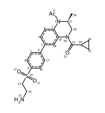 CC(=O)N1c2ccc(-c3ccc(S(=O)(=O)CCN)cc3)cc2N(C(=O)C2CC2)C[C@@H]1C